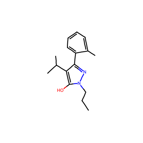 CCCn1nc(-c2ccccc2C)c(C(C)C)c1O